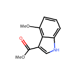 COC(=O)c1c[nH]c2cccc(OC)c12